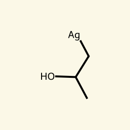 CC(O)[CH2][Ag]